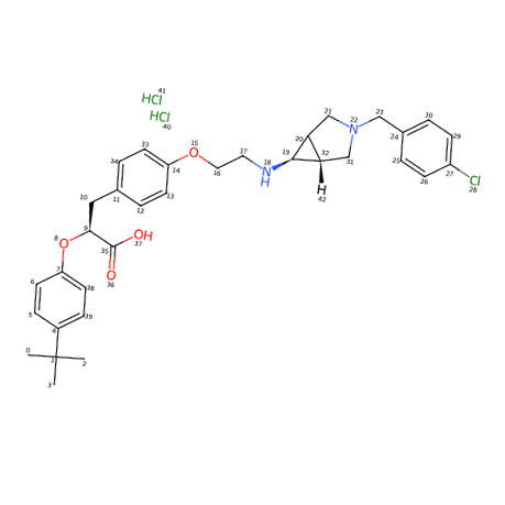 CC(C)(C)c1ccc(O[C@@H](Cc2ccc(OCCN[C@H]3C4CN(Cc5ccc(Cl)cc5)C[C@@H]43)cc2)C(=O)O)cc1.Cl.Cl